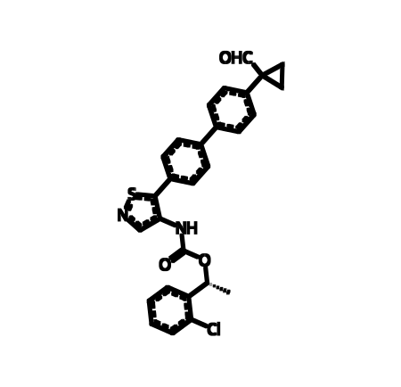 C[C@@H](OC(=O)Nc1cnsc1-c1ccc(-c2ccc(C3(C=O)CC3)cc2)cc1)c1ccccc1Cl